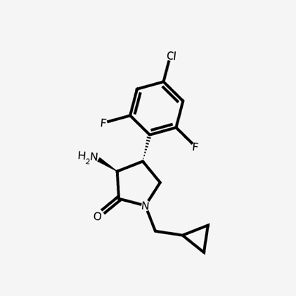 N[C@@H]1C(=O)N(CC2CC2)C[C@H]1c1c(F)cc(Cl)cc1F